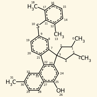 CCCC1(CCC)c2cc(Sc3c(C)cccc3C)ccc2-c2c1cc(O)c1ccc(C)cc21